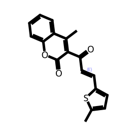 Cc1ccc(/C=C/C(=O)c2c(C)c3ccccc3oc2=O)s1